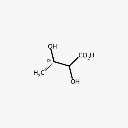 C[C@H](O)C(O)C(=O)O